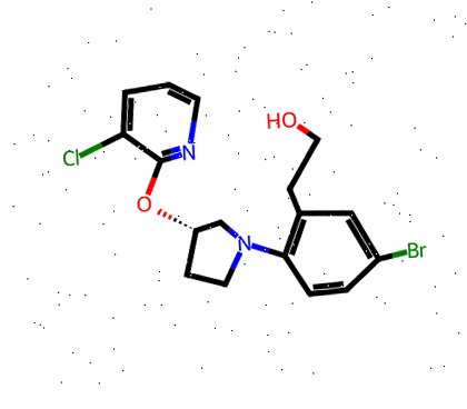 OCCc1cc(Br)ccc1N1CC[C@H](Oc2ncccc2Cl)C1